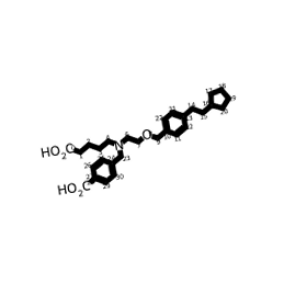 O=C(O)CCCCN(CCOCc1ccc(CCC2CCCC2)cc1)Cc1ccc(C(=O)O)cc1